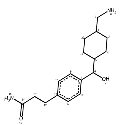 NCC1CCC(C(O)c2ccc(CCC(N)=O)cc2)CC1